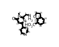 Cn1c(CN)nc(-c2ccncn2)cc1=O.O=C(O)c1cccc2c1OCC2